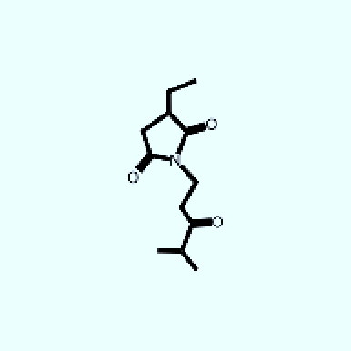 CCC1CC(=O)N(CCC(=O)C(C)C)C1=O